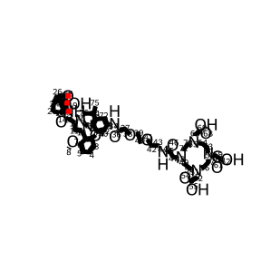 COc1cccc(OC)c1-c1cc(C(=O)NC2(C(=O)O)C3CC4CC(C3)C2C4)nn1-c1ccc(NC(=O)COCCOCCNC(=O)CN2CCN(CC(=O)O)CCN(CC(=O)O)CCN(CC(=O)O)CC2)cc1C(C)C